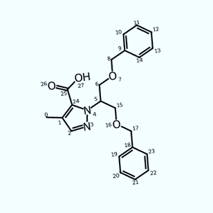 Cc1cnn(C(COCc2ccccc2)COCc2ccccc2)c1C(=O)O